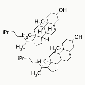 CC(C)CCCC(C)C1CCC2C3CC=C4CC(O)CCC4(C)C3CCC12C.CC(C)CCC[C@@H](C)[C@H]1CC[C@H]2[C@@H]3CC=C4C[C@@H](O)CC[C@]4(C)[C@H]3CC[C@]12C